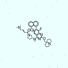 CN(C)C/C=C/C(=O)N1CC[C@@H](N(C)c2nc(OCC34CCCN3CCC4)nc3c(F)c(-c4cccc5cccc(Cl)c45)ncc23)C1